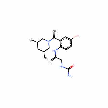 Bc1ccc(NC(=C)CNC(N)=O)c(C(=C)N2C[C@H](C)C[C@H](C)C2)c1